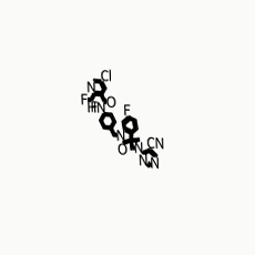 N#Cc1cncnc1N1CC2(C1)C(=O)N(CC1CCC(NC(=O)c3cc(Cl)cnc3C(F)F)CC1)c1cc(F)ccc12